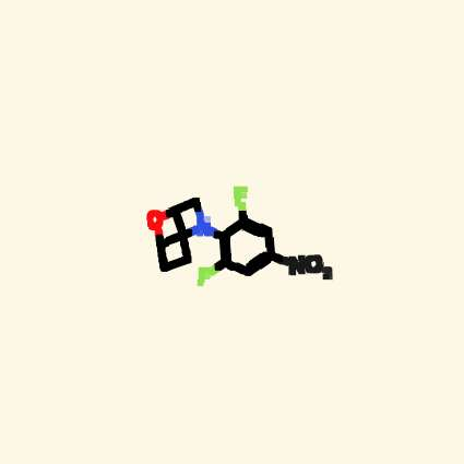 O=[N+]([O-])c1cc(F)c(N2CC3OC4CCC432)c(F)c1